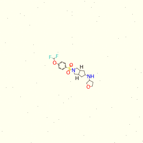 O=S(=O)(c1ccc(OC(F)F)cc1)N1C[C@H]2CC(NC3CCOC3)C[C@H]2C1